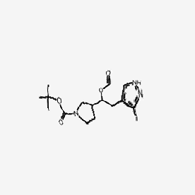 CC(C)(C)OC(=O)N1CCC(C(Cc2c[nH]nc2I)OC=O)C1